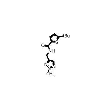 Cn1ncc(CNC(=O)c2ccc(C(C)(C)C)s2)n1